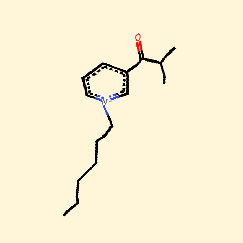 CCCCCC[n+]1cccc(C(=O)C(C)C)c1